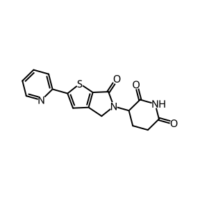 O=C1CCC(N2Cc3cc(-c4ccccn4)sc3C2=O)C(=O)N1